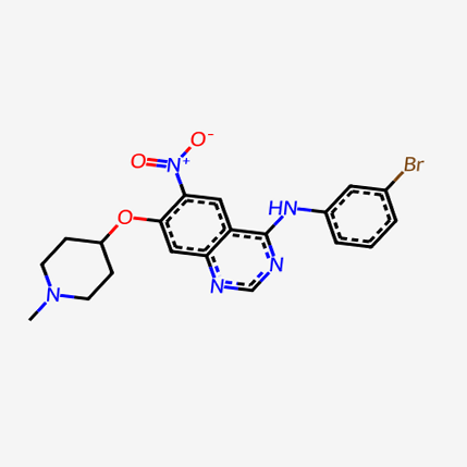 CN1CCC(Oc2cc3ncnc(Nc4cccc(Br)c4)c3cc2[N+](=O)[O-])CC1